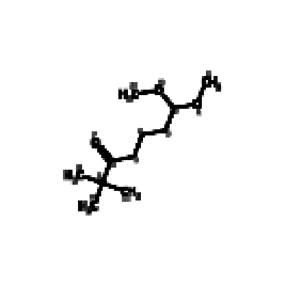 COC(CCCC(=O)C(C)(C)C)OC